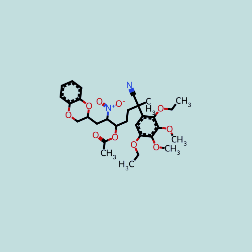 CCOc1cc(C(C)(C#N)CCC(OC(C)=O)C(CC2COc3ccccc3O2)[N+](=O)[O-])c(OCC)c(OC)c1OC